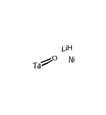 [LiH].[Ni].[O]=[Ta]